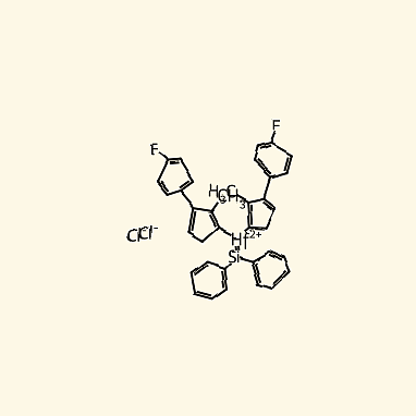 CC1=[C]([Hf+2]([C]2=C(C)C(c3ccc(F)cc3)=CC2)=[Si](c2ccccc2)c2ccccc2)CC=C1c1ccc(F)cc1.[Cl-].[Cl-]